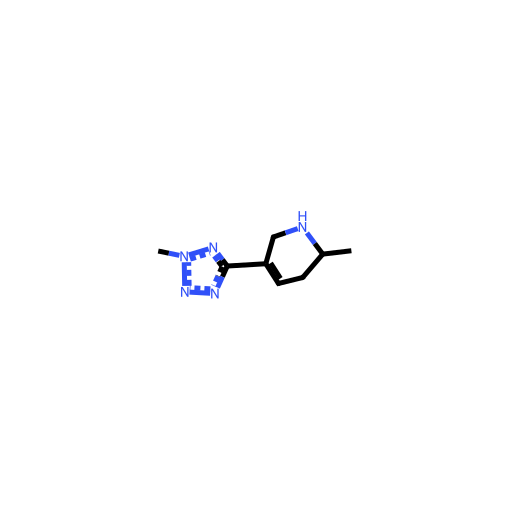 CC1CC=C(c2nnn(C)n2)CN1